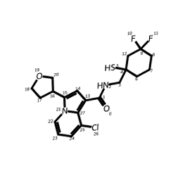 O=C(NCC1(S)CCCC(F)(F)C1)c1cc(C2CCOC2)n2cccc(Cl)c12